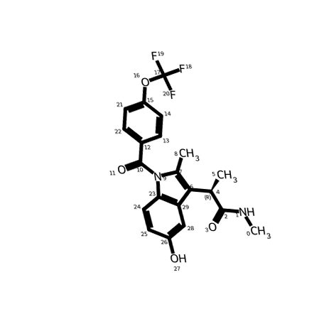 CNC(=O)[C@H](C)c1c(C)n(C(=O)c2ccc(OC(F)(F)F)cc2)c2ccc(O)cc12